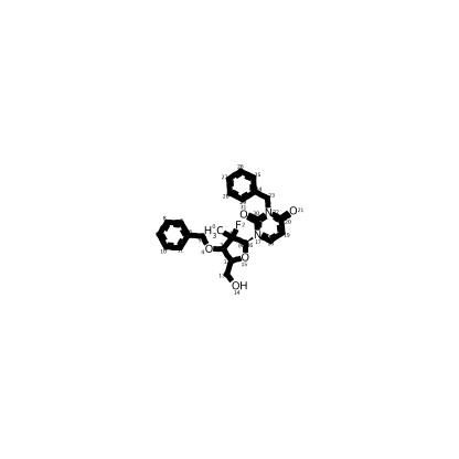 CC1(F)C(OCc2ccccc2)C(CO)O[C@H]1n1ccc(=O)n(Cc2ccccc2)c1=O